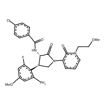 COCCn1cccc(N2C[C@@H](c3c(F)cc(OC)cc3P)[C@H](NC(=O)c3ccc(Cl)cc3)C2=O)c1=O